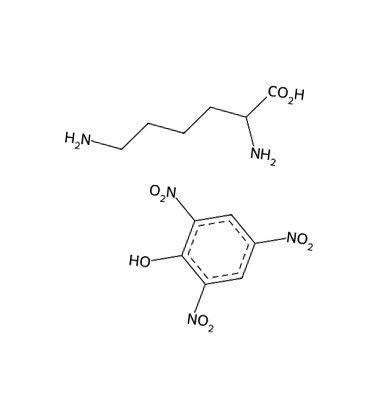 NCCCCC(N)C(=O)O.O=[N+]([O-])c1cc([N+](=O)[O-])c(O)c([N+](=O)[O-])c1